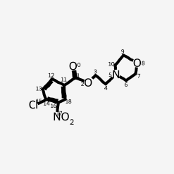 O=C(OCCN1CCOCC1)c1ccc(Cl)c([N+](=O)[O-])c1